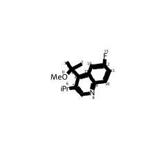 COC(C)(C)c1c(C(C)C)cnc2ccc(F)cc12